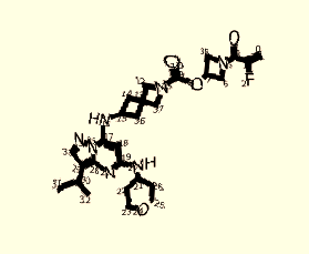 C=C(F)C(=O)N1CC(OC(=O)N2CC3(CC(Nc4cc(NC5CCOCC5)nc5c(C(C)C)cnn45)C3)C2)C1